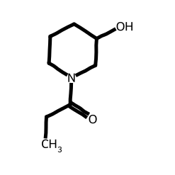 CCC(=O)N1CCCC(O)C1